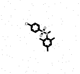 Cc1cc(C)c(N(C)S(=O)(=O)c2ccc(Cl)cc2)c(C)c1